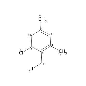 Cc1cc(C)c(CI)c(Cl)c1